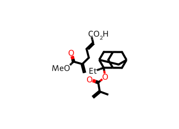 C=C(C)C(=O)OC1(CC)C2CC3CC(C2)CC1C3.C=C(CC=CC(=O)O)C(=O)OC